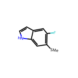 CSc1cc2[nH]ccc2cc1F